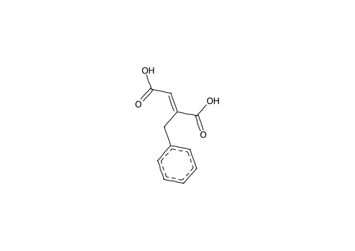 O=C(O)/C=C(\Cc1ccccc1)C(=O)O